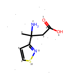 CC(N)(CC(=O)O)c1ccsn1